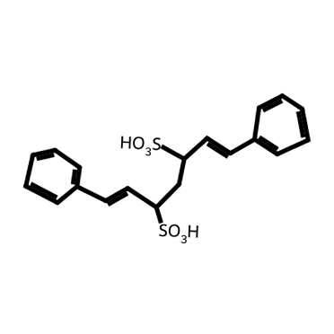 O=S(=O)(O)C(C=Cc1ccccc1)CC(C=Cc1ccccc1)S(=O)(=O)O